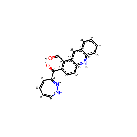 O=[C]c1c(C(=O)C2=NNC=CC=C2)ccc2nc3ccccc3cc12